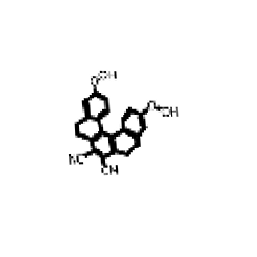 N#Cc1c(C#N)c2c(c3c1CCc1cc(OO)ccc1-3)-c1ccc(OO)cc1CC2